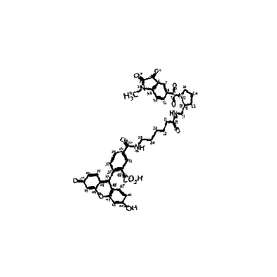 CN1C(=O)C(=O)c2cc(S(=O)(=O)N3CCC[C@H]3CNC(=O)CCCCCNC(=O)c3ccc(-c4c5ccc(=O)cc-5oc5cc(O)ccc45)c(C(=O)O)c3)ccc21